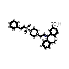 O=C(O)c1ccc2c(c1)/C(=C/CN1CCN(S(=O)(=O)C=Cc3ccccc3)CC1)c1ccccc1CO2